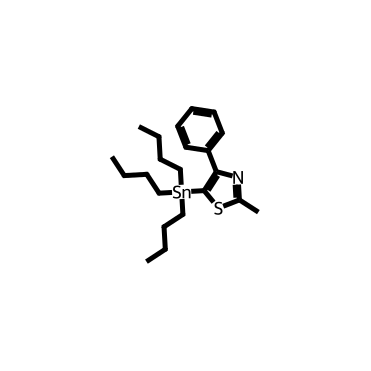 CCC[CH2][Sn]([CH2]CCC)([CH2]CCC)[c]1sc(C)nc1-c1ccccc1